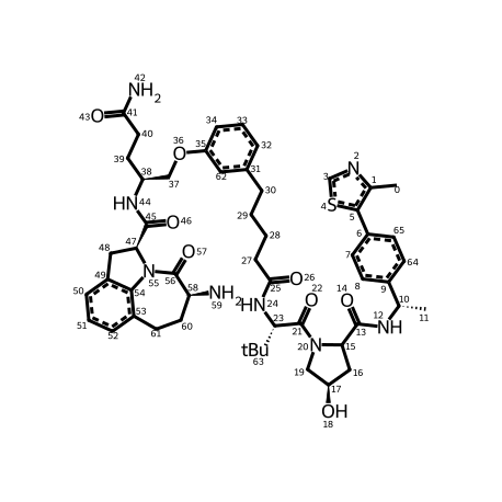 Cc1ncsc1-c1ccc([C@H](C)NC(=O)C2C[C@@H](O)CN2C(=O)[C@@H](NC(=O)CCCCc2cccc(OC[C@H](CCC(N)=O)NC(=O)[C@@H]3Cc4cccc5c4N3C(=O)[C@@H](N)CC5)c2)C(C)(C)C)cc1